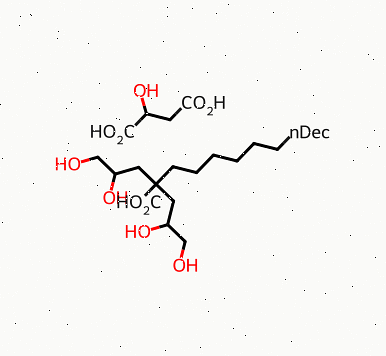 CCCCCCCCCCCCCCCCC(CC(O)CO)(CC(O)CO)C(=O)O.O=C(O)CC(O)C(=O)O